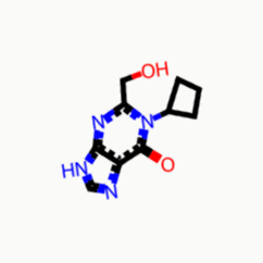 O=c1c2nc[nH]c2nc(CO)n1C1CCC1